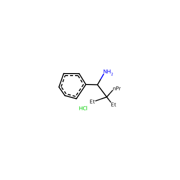 CCCC(CC)(CC)C(N)c1ccccc1.Cl